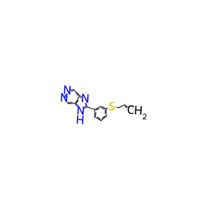 C=CCSc1cccc(-c2nc3cnncc3[nH]2)c1